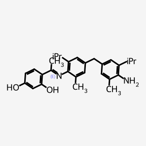 C/C(=N\c1c(C)cc(Cc2cc(C)c(N)c(C(C)C)c2)cc1C(C)C)c1ccc(O)cc1O